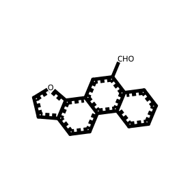 O=Cc1cc2c(ccc3ccoc32)c2ccccc12